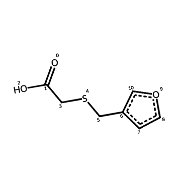 O=C(O)CSCc1ccoc1